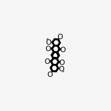 COC1CC(=O)CC2C(=O)c3cc4c(cc3C(=O)C12)C(=O)C1CC(=O)CC(OC)C1C4=O